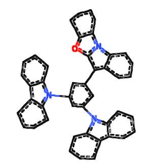 c1ccc2c(c1)oc1c(-c3cc(-n4c5ccccc5c5ccccc54)cc(-n4c5ccccc5c5ccccc54)c3)c3ccccc3n12